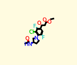 CCOC(=O)CC(=O)c1cc(F)c(N2CCC(NC(C)=O)C2)c(Cl)c1F